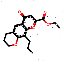 CCCc1c2c(cc3c(=O)cc(C(=O)OCC)oc13)CCCO2